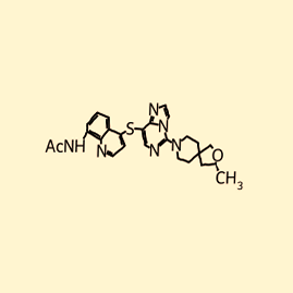 CC(=O)Nc1cccc2c(Sc3cnc(N4CCC5(CC4)CO[C@@H](C)C5)n4ccnc34)ccnc12